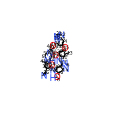 COc1cc2ncnc(Nc3cc(C)c(Oc4ccn5ncnc5c4)cc3OC)c2cc1NC(=O)/C(C#N)=C\C(C)(C)N1CCN(C2COC2)CC1